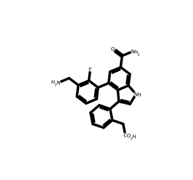 NCc1cccc(-c2cc(C(N)=O)cc3[nH]cc(-c4ccccc4CC(=O)O)c23)c1F